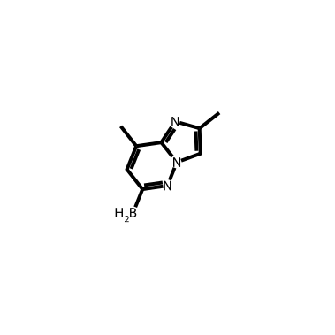 Bc1cc(C)c2nc(C)cn2n1